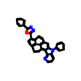 c1ccc(-c2nnc(-c3ccc4ccc5c6c(ccc3c46)cc3c5c4ncccc4n3-c3ccccc3)o2)cc1